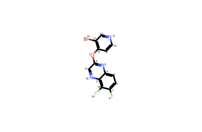 Fc1ccc2nc(Oc3ccncc3Br)cnc2c1F